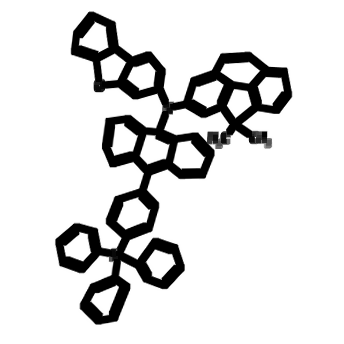 CC1(C)c2cccc3ccc4cc(N(c5ccc6c(c5)oc5ccccc56)c5c6ccccc6c(-c6ccc([Si](c7ccccc7)(c7ccccc7)c7ccccc7)cc6)c6ccccc56)cc1c4c23